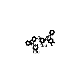 Cc1cc2c(cc1C)[n+](-c1ccccc1)cn2-c1cc(Oc2ccc3c4ccccc4n(-c4cc(C(C)(C)C)ccn4)c3c2)cc(C(C)(C)C)c1